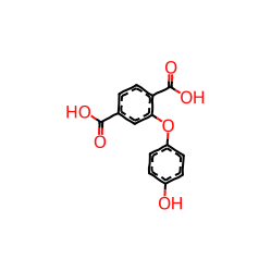 O=C(O)c1ccc(C(=O)O)c(Oc2ccc(O)cc2)c1